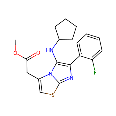 COC(=O)Cc1csc2nc(-c3ccccc3F)c(NC3CCCC3)n12